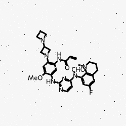 C=CC(=O)Nc1cc(Nc2nccc(N(C=O)c3cc(F)cc4c3N(C)CCC4)n2)c(OC)cc1N1CC(N2CCC2)C1